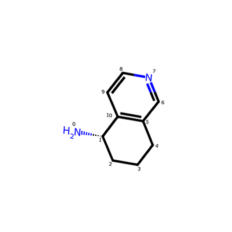 N[C@H]1CCCc2cnccc21